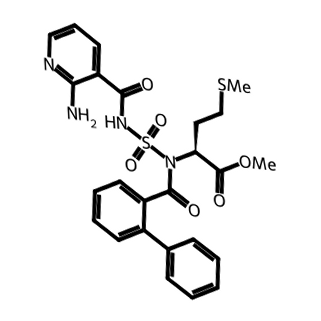 COC(=O)[C@H](CCSC)N(C(=O)c1ccccc1-c1ccccc1)S(=O)(=O)NC(=O)c1cccnc1N